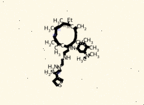 C=C1CC[C@H](C)C(N[C@H]2CC(N(C)C)C(C)[C@@H](C)C2)[C@@H](CCNCCN(N)/C=C(\N)C2=CSCC2)C[C@@H](C)C(=C)/C=C/C(C)=C/[C@H](C)[C@@H](CC)C1